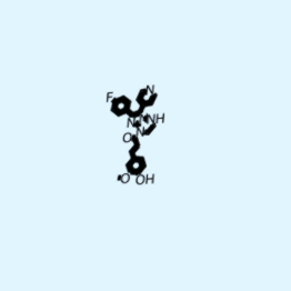 COc1cc(C=CC(=O)N2CCNn3c2nc(-c2ccc(F)cc2)c3-c2ccncc2)ccc1O